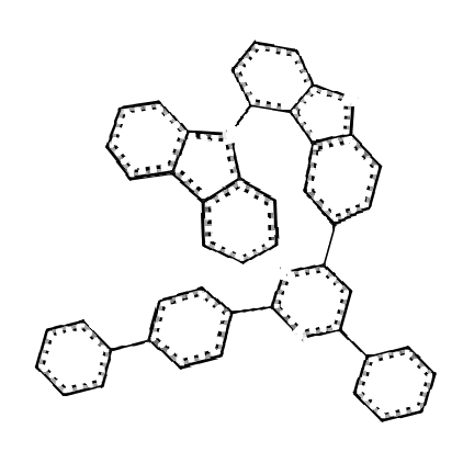 c1ccc(-c2ccc(-c3nc(-c4ccccc4)cc(-c4ccc5oc6cccc(-n7c8ccccc8c8ccccc87)c6c5c4)n3)cc2)cc1